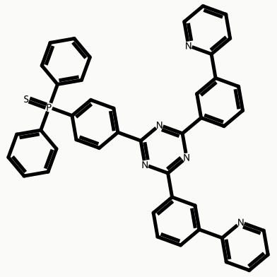 S=P(c1ccccc1)(c1ccccc1)c1ccc(-c2nc(-c3cccc(-c4ccccn4)c3)nc(-c3cccc(-c4ccccn4)c3)n2)cc1